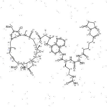 COc1cc2cc(c1Cl)N(C)C(=O)C[C@H](OC(=O)[C@H](C)N(C)C(=O)c1ccc(NC(=O)[C@H](CCCNC(N)=O)NC(=O)[C@@H](NC(=O)CCCCC(=O)ON3C(=O)CCC3=O)C(C)C)c3cccnc13)[C@]1(C)O[C@H]1[C@H](C)[C@@H]1C[C@@](O)(NC(=O)O1)[C@H](OC)/C=C/C=C(\C)C2